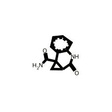 NC(=O)C12C[C]1C(=O)Nc1ccccc12